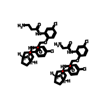 NCC(=O)Nc1cc(Cl)ccc1OCC(=O)N[C@H]1C[C@H]2CC[C@@H](C1)N2Cc1ccc(Cl)cc1.NCCC(=O)Nc1cc(Cl)ccc1OCC(=O)N[C@H]1C[C@H]2CC[C@@H](C1)N2Cc1ccc(Cl)cc1